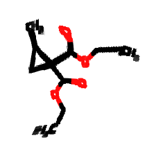 C=C1CC1(C(=O)OCC)C(=O)OCC